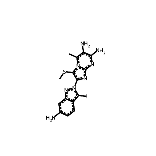 CSc1c(-n2nc3cc(N)ccc3c2I)nc2nc(N)c(N)c(C)n12